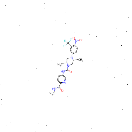 CNC(=O)c1ccc(NC(=O)N2C[C@H](C)N(c3ccc([N+](=O)[O-])c(C(F)(F)F)c3)C[C@H]2C)cn1